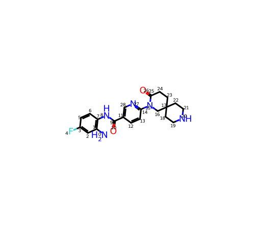 Nc1cc(F)ccc1NC(=O)c1ccc(N2CC3(CCNCC3)CCC2=O)nc1